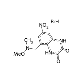 Br.CON(C)Cc1cc([N+](=O)[O-])cc2[nH]c(=O)c(=O)[nH]c12